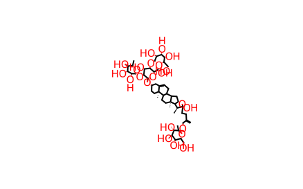 C=C(CCC1(O)OC2CC3C4CC=C5CC(OC6OC(CO)C(OC7OC(CO)C(O)[C@@H](O)[C@@H]7O)[C@@H](O)[C@@H]6OC6OC(C)C(O)[C@H](O)[C@@H]6O)CC[C@]5(C)C4CC[C@]3(C)C2[C@@H]1C)COC1(C)OC(CO)C(O)[C@@H](O)[C@@H]1O